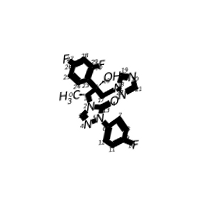 C[C@@H](n1cnn(-c2ccc(F)cc2)c1=O)[C@](O)(Cn1cncn1)c1ccc(F)cc1F